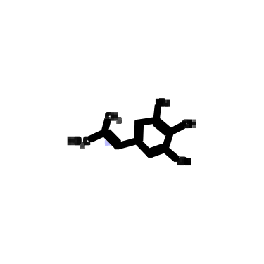 C/C(=C\c1cc(C(C)(C)C)c(O)c(C(C)(C)C)c1)C(=O)O